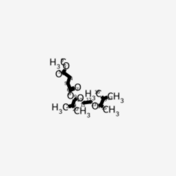 COC(=O)CCC(=O)OC(OCCOC(C)C(C)C)C(C)C